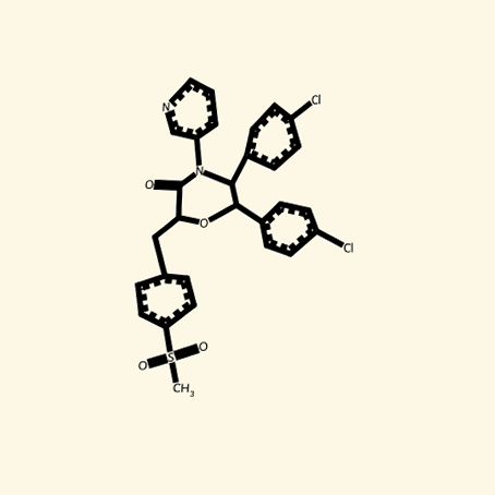 CS(=O)(=O)c1ccc(CC2OC(c3ccc(Cl)cc3)C(c3ccc(Cl)cc3)N(c3cccnc3)C2=O)cc1